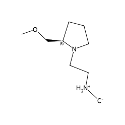 [CH2-][NH2+]CCN1CCC[C@@H]1COC